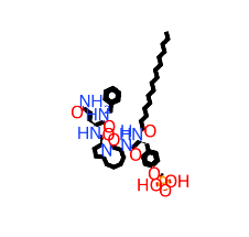 CCCCCCCCCCCCCCCC(=O)N[C@H](Cc1ccc(OCP(=O)(O)O)cc1)C(=O)N[C@H]1CCCCC2CC[C@@H](C(=O)N[C@@H](CCC(N)=O)C(=O)NCc3ccccc3)N2C1=O